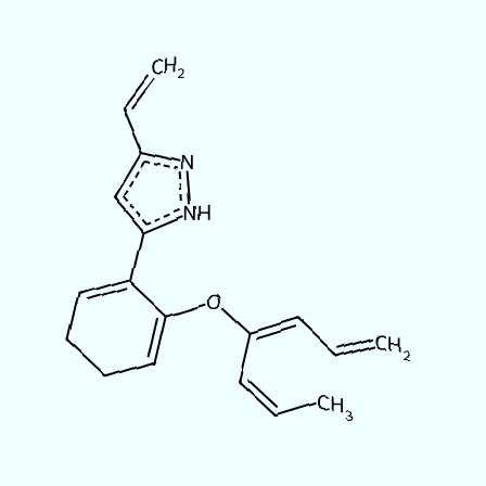 C=C/C=C(\C=C/C)OC1=CCCC=C1c1cc(C=C)n[nH]1